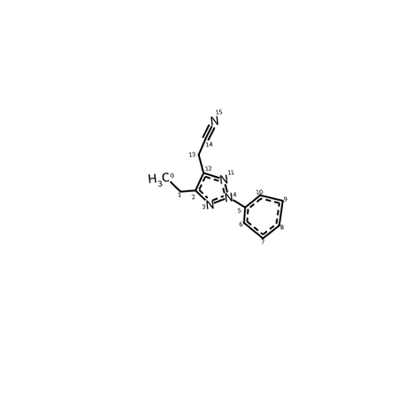 CCc1nn(-c2ccccc2)nc1CC#N